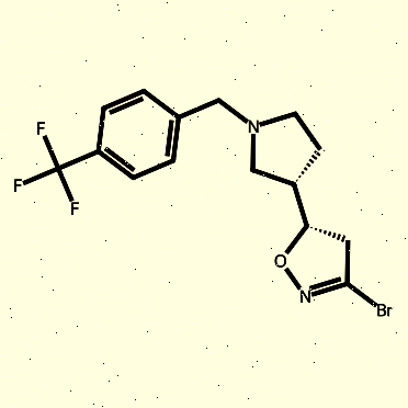 FC(F)(F)c1ccc(CN2CC[C@H]([C@@H]3CC(Br)=NO3)C2)cc1